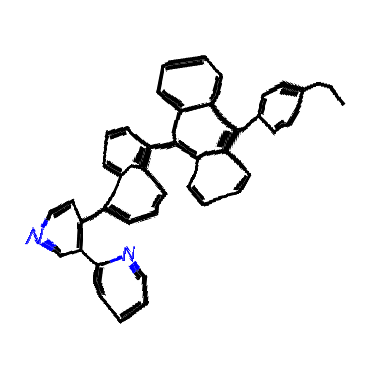 CCc1ccc(-c2c3ccccc3c(-c3cccc4c(-c5ccncc5-c5ccccn5)cccc34)c3ccccc23)cc1